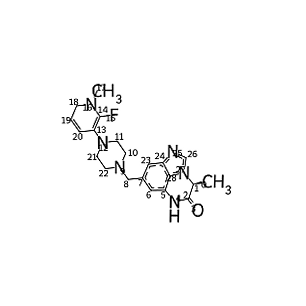 C[C@H]1C(=O)Nc2cc(CN3CCN(C4=C(F)N(C)CC=C4)CC3)cc3ncn1c23